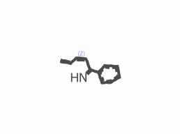 C=C/C=C\C(=N)c1ccccc1